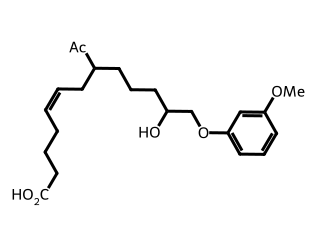 COc1cccc(OCC(O)CCCC(C/C=C\CCCC(=O)O)C(C)=O)c1